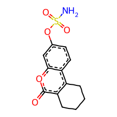 NS(=O)(=O)Oc1ccc2c3c(c(=O)oc2c1)CCCC3